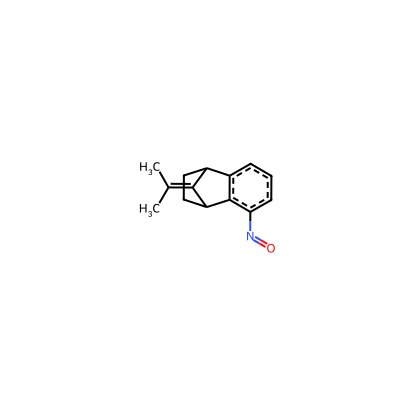 CC(C)=C1C2CCC1c1c(N=O)cccc12